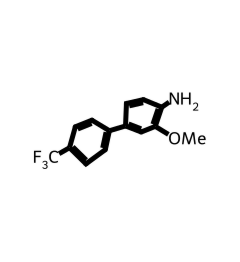 COc1cc(-c2ccc(C(F)(F)F)cc2)ccc1N